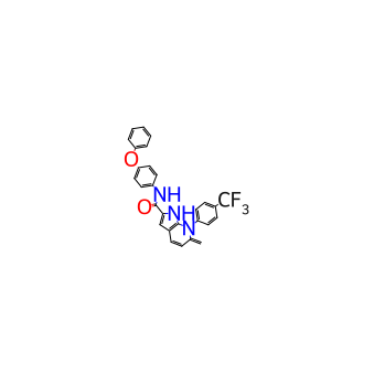 C=C1C=Cc2cc(C(=O)Nc3ccc(Oc4ccccc4)cc3)[nH]c2N1c1ccc(C(F)(F)F)cc1